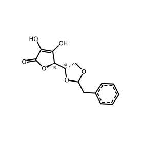 O=C1O[C@H]([C@@H]2COC(Cc3ccccc3)O2)C(O)=C1O